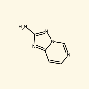 Nc1nc2ccncn2n1